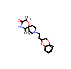 CC1OC2(CCN(CCC3COc4ccccc4O3)CC2)C(C)NC1=O